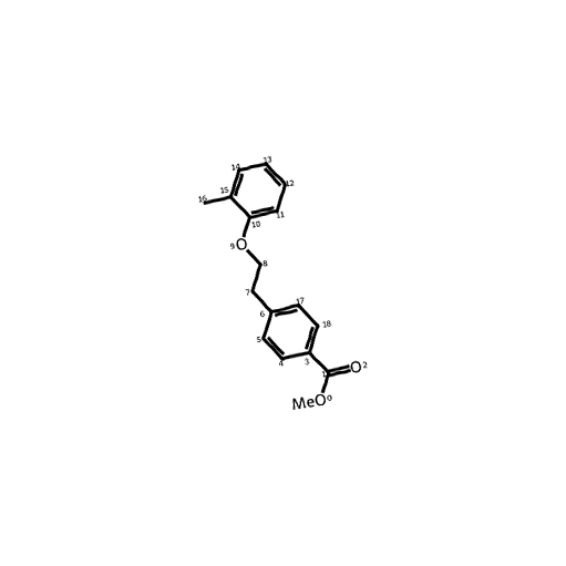 COC(=O)c1ccc(CCOc2ccccc2C)cc1